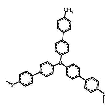 Cc1ccc(-c2ccc(B(c3ccc(-c4ccc(SI)cc4)cc3)c3ccc(-c4ccc(SI)cc4)cc3)cc2)cc1